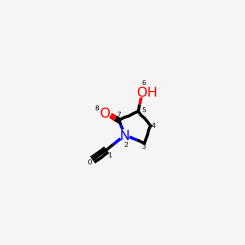 C#CN1CCC(O)C1=O